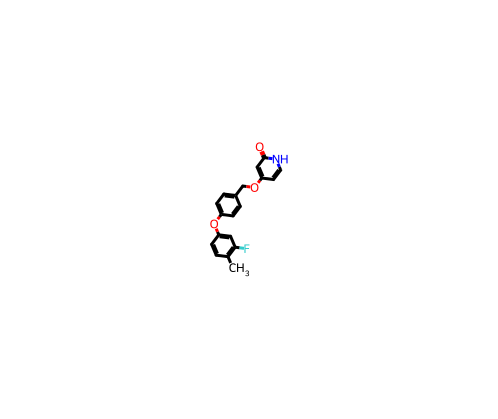 Cc1ccc(Oc2ccc(COc3cc[nH]c(=O)c3)cc2)cc1F